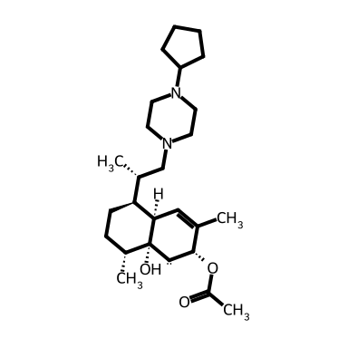 CC(=O)O[C@@H]1[C][C@@]2(O)[C@H](C)CC[C@@H]([C@H](C)CN3CCN(C4CCCC4)CC3)[C@H]2C=C1C